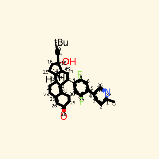 Cc1ccc(-c2cc(F)c([C@H]3C[C@@]4(C)[C@@H](CC[C@@]4(O)C#CC(C)(C)C)[C@@H]4CCC5=CC(=O)CCC5=C43)cc2F)cn1